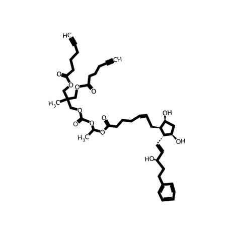 C#CCCCC(=O)OCC(C)(COC(=O)CCCC#C)COC(=O)OC(C)OC(=O)CCC/C=C\C[C@@H]1[C@@H](/C=C/[C@@H](O)CCc2ccccc2)[C@H](O)C[C@@H]1O